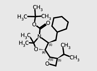 CC(C)[C@H]1CO[C@@H]1[C@@H]1OC(C)(C)N(C(=O)OC(C)(C)C)[C@H]1CC1CCCCC1